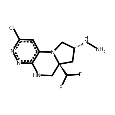 NN[C@H]1CN2c3cc(Cl)nnc3NC[C@@]2(C(F)F)C1